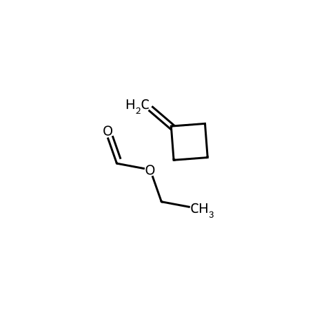 C=C1CCC1.CCOC=O